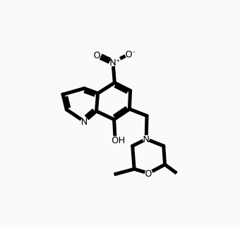 CC1CN(Cc2cc([N+](=O)[O-])c3cccnc3c2O)CC(C)O1